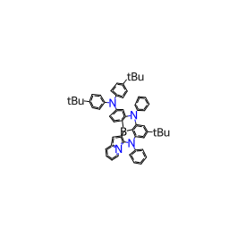 CC(C)(C)c1ccc(N(c2ccc(C(C)(C)C)cc2)c2ccc3c(c2)N(c2ccccc2)c2cc(C(C)(C)C)cc4c2B3c2cc3ccccn3c2N4c2ccccc2)cc1